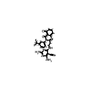 N#Cc1c(N)nc(N)nc1NCCc1nc2cccc(Cl)c2c(=O)n1-c1cccc(C(F)F)c1